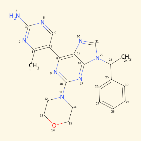 Cc1nc(N)ncc1-c1nc(N2CCOCC2)nc2c1ncn2C(C)c1ccccc1